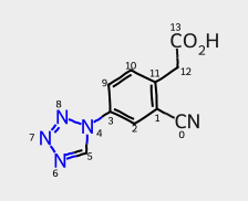 N#Cc1cc(-n2cnnn2)ccc1CC(=O)O